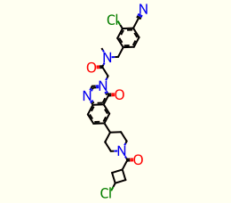 CN(Cc1ccc(C#N)c(Cl)c1)C(=O)Cn1cnc2ccc(C3CCN(C(=O)C4CC(Cl)C4)CC3)cc2c1=O